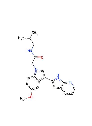 COc1ccc2c(c1)c(-c1cc3cccnc3[nH]1)cn2CC(=O)NCC(C)C